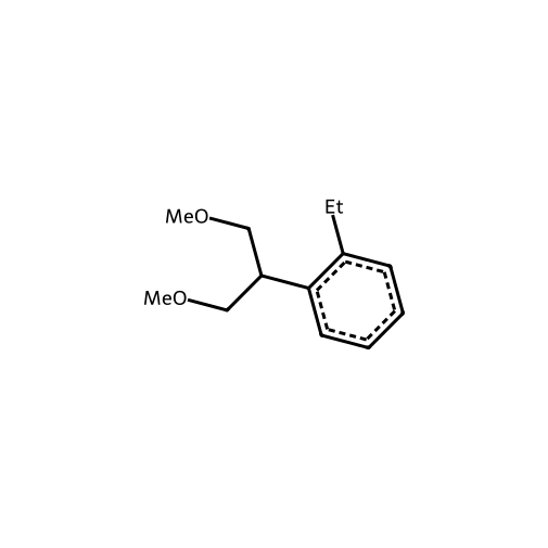 CCc1ccccc1C(COC)COC